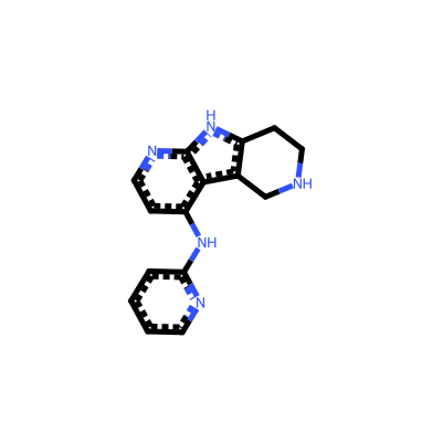 c1ccc(Nc2ccnc3[nH]c4c(c23)CNCC4)nc1